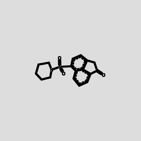 O=C1Cc2ccc(S(=O)(=O)N3CCCCC3)c3cccc1c23